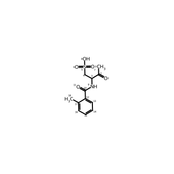 CC(=O)C(CS(=O)(=O)O)NC(=O)c1ccccc1C